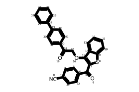 N#Cc1ccc(C(=O)c2sc3ccccc3c2OCC(=O)c2ccc(-c3ccccc3)cc2)cc1